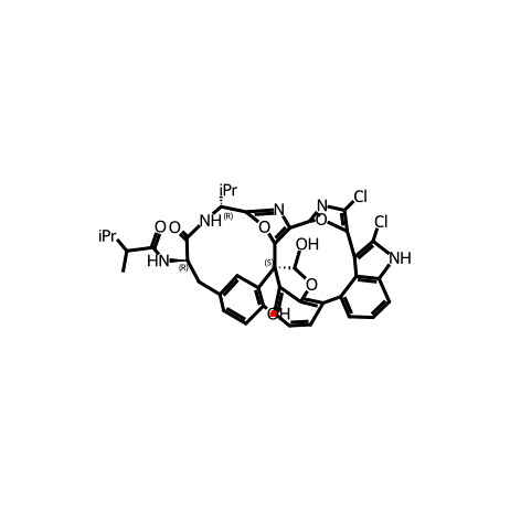 CC(C)C(C)C(=O)N[C@@H]1Cc2ccc(O)c(c2)[C@@]23c4cccc(c4OC2O)-c2cccc4[nH]c(Cl)c(c24)-c2oc(nc2Cl)-c2nc(oc23)[C@@H](C(C)C)NC1=O